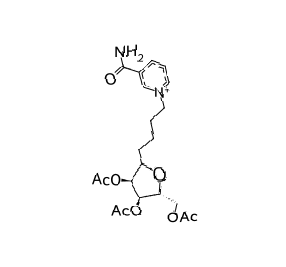 CC(=O)OC[C@H]1OC(CCCC[n+]2cccc(C(N)=O)c2)[C@H](OC(C)=O)[C@@H]1OC(C)=O